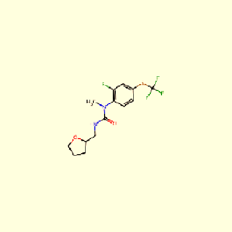 CN(C(=O)NCC1CCCO1)c1ccc(SC(F)(F)F)cc1F